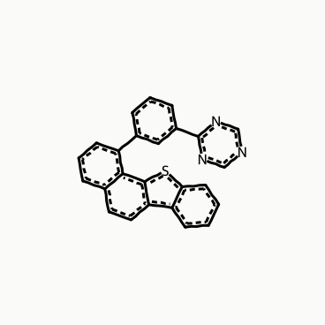 c1cc(-c2ncncn2)cc(-c2cccc3ccc4c5ccccc5sc4c23)c1